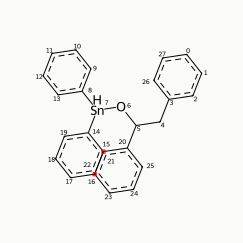 c1ccc(CC([O][SnH]([c]2ccccc2)[c]2ccccc2)c2ccccc2)cc1